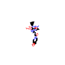 COC1(C)CCN(C(=O)/C=C/c2cnn3c(O)c(C(=O)NC4CC4)c(=O)n(CC(C)C)c23)CC1